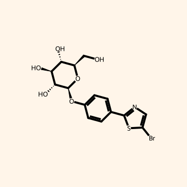 OC[C@H]1O[C@@H](Oc2ccc(-c3ncc(Br)s3)cc2)[C@H](O)[C@@H](O)[C@@H]1O